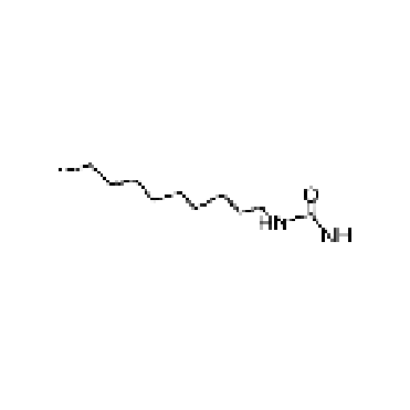 [CH2]CCCCCCCCCNC([NH])=O